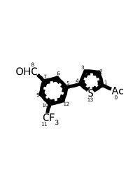 CC(=O)c1ccc(-c2cc(C=O)cc(C(F)(F)F)c2)s1